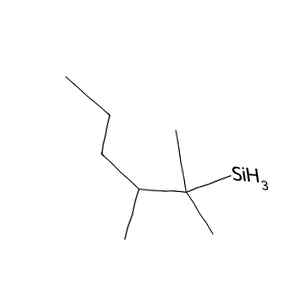 CCCC(C)C(C)(C)[SiH3]